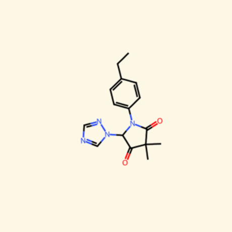 CCc1ccc(N2C(=O)C(C)(C)C(=O)C2n2cncn2)cc1